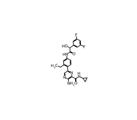 CCc1cc(NC(=O)[C@@H](O)c2cc(F)cc(F)c2)ccc1-c1cnc(N)c(C(=O)NC2CC2)n1